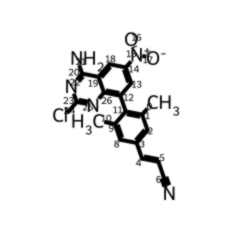 Cc1cc(/C=C/C#N)cc(C)c1-c1cc([N+](=O)[O-])cc2c(N)nc(Cl)nc12